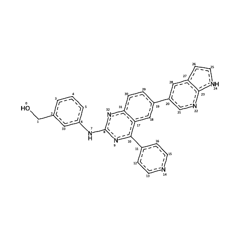 OCc1cccc(Nc2nc(-c3ccncc3)c3cc(-c4cnc5[nH]ccc5c4)ccc3n2)c1